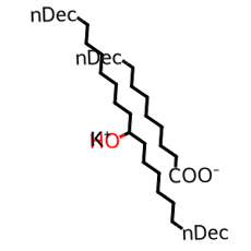 CCCCCCCCCCCCCCCCCC(=O)[O-].CCCCCCCCCCCCCCCCCC(O)CCCCCCCCCCCCCCCC.[K+]